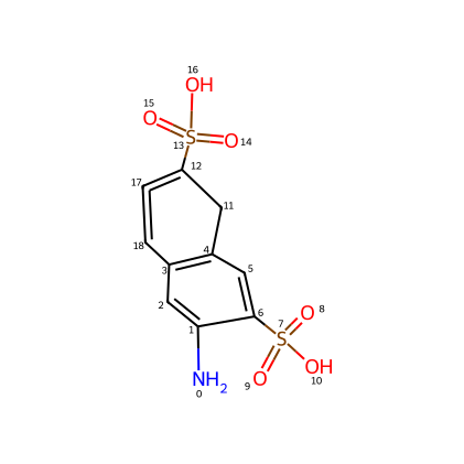 Nc1cc2c(cc1S(=O)(=O)O)CC(S(=O)(=O)O)=C=C2